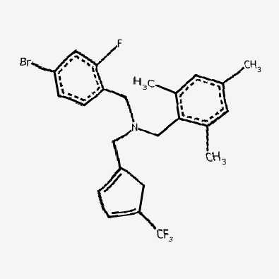 Cc1cc(C)c(CN(CC2=CC=C(C(F)(F)F)C2)Cc2ccc(Br)cc2F)c(C)c1